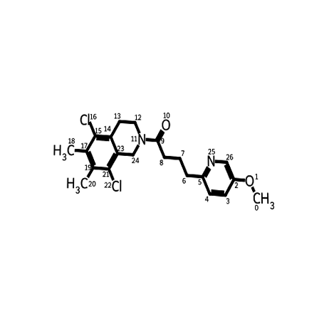 COc1ccc(CCCC(=O)N2CCc3c(Cl)c(C)c(C)c(Cl)c3C2)nc1